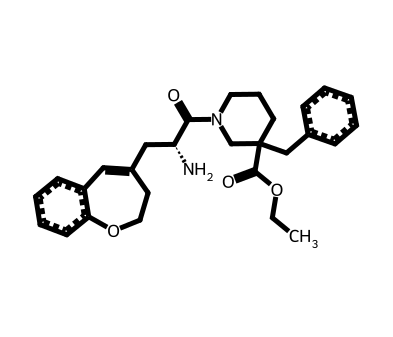 CCOC(=O)C1(Cc2ccccc2)CCCN(C(=O)[C@H](N)CC2=Cc3ccccc3OCC2)C1